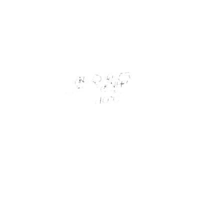 CCCc1cc(-c2ccc(S(=O)(=O)NC(C)(C(=O)O)[C@H](C)c3ccccc3)s2)no1